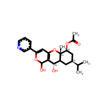 CC(=O)O[C@H]1C[C@@H](C(C)C)CC2[C@H](O)C3=C(C=C(c4cccnc4)OC3O)O[C@@]21C